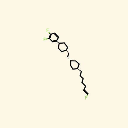 FC=CCCCCC[C@H]1CC[C@H](CC[C@H]2CC[C@H](c3ccc(F)c(F)c3)CC2)CC1